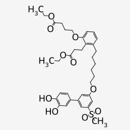 CCOC(=O)CCCOc1cccc(CCCCCCOc2cc(-c3ccc(O)c(O)c3)cc(S(C)(=O)=O)c2)c1CCC(=O)OCC